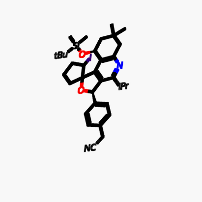 CC(C)c1nc2c(c3c1[C@@H](c1ccc(CC#N)cc1)OC31CCCC1I)[C@@H](O[Si](C)(C)C(C)(C)C)CC(C)(C)C2